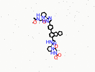 C=C(N[C@@H](C)C(=O)N1CCCC[C@H]1c1ncc(-c2ccc(-c3ccc(-c4cnc([C@@H]5CCCCN5C(=O)[C@H](C)NC(=O)OC)[nH]4)c4c3CC3(CCCC3)C4)cc2)[nH]1)OC